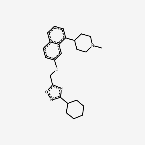 CN1CCC(c2cccc3ccc(OCc4nc(C5CCCCC5)no4)cc23)CC1